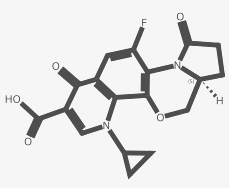 O=C(O)c1cn(C2CC2)c2c3c(c(F)cc2c1=O)N1C(=O)CC[C@H]1CO3